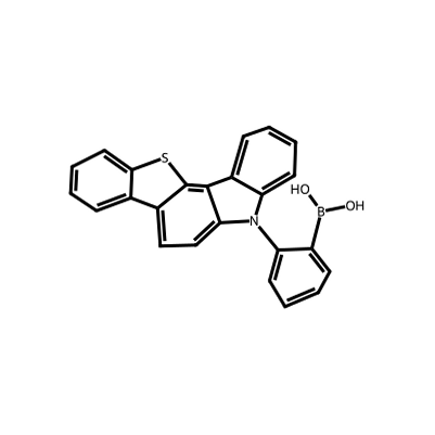 OB(O)c1ccccc1-n1c2ccccc2c2c3sc4ccccc4c3ccc21